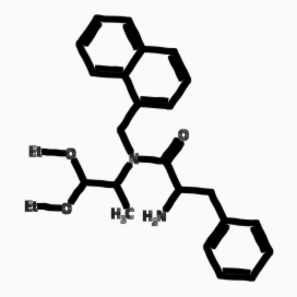 CCOC(OCC)C(C)N(Cc1cccc2ccccc12)C(=O)C(N)Cc1ccccc1